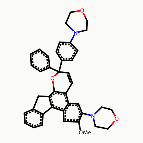 COc1cc2c3c(c4c(c2cc1N1CCOCC1)C=CC(c1ccccc1)(c1ccc(N2CCOCC2)cc1)O4)Cc1ccccc1-3